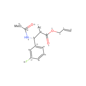 C=CCOC(=O)C(C(C)=O)[C@@H](NC(=O)OC)c1cccc(F)c1